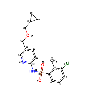 Cc1c(Cl)cccc1S(=O)(=O)Nc1ccc(COCC2CC2)cn1